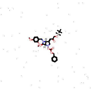 COc1ccc(CN2C(=O)[C@@H]3[C@H]2/C(=C/C(=O)CO[Si](C)(C)C(C)(C)C)CN3OC(=O)OCc2ccccc2)c(OC)c1